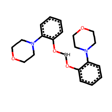 B(Oc1ccccc1N1CCOCC1)Oc1ccccc1N1CCOCC1